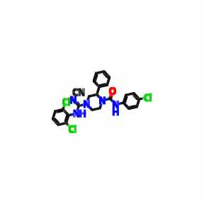 N#C/N=C(/Nc1c(Cl)cccc1Cl)N1CCN(C(=O)Nc2ccc(Cl)cc2)C(c2ccccc2)C1